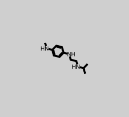 CNc1ccc(NCCNC(C)C)cc1